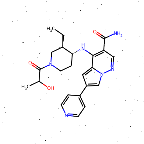 CC[C@@H]1CN(C(=O)C(C)O)CC[C@H]1Nc1c(C(N)=O)cnn2cc(-c3ccncc3)cc12